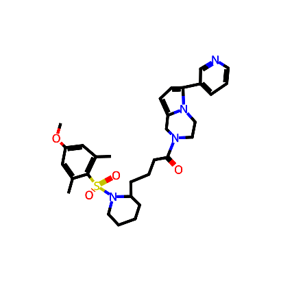 COc1cc(C)c(S(=O)(=O)N2CCCCC2CCCC(=O)N2CCn3c(ccc3-c3cccnc3)C2)c(C)c1